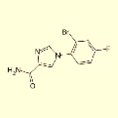 NC(=O)c1cn(-c2ccc(F)cc2Br)cn1